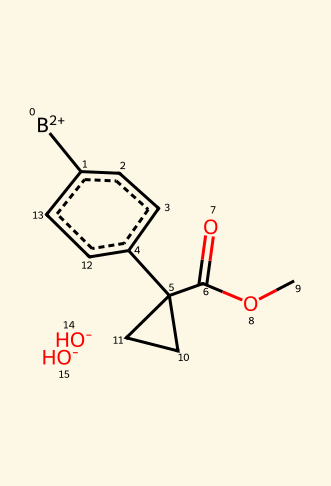 [B+2]c1ccc(C2(C(=O)OC)CC2)cc1.[OH-].[OH-]